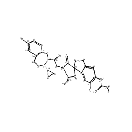 CNC(=O)Nc1cc2c(cc1F)C1(CC2)OC(=O)N(CC(=O)N2Cc3ccc(F)cc3CC[C@H]2C2CC2)C1=O